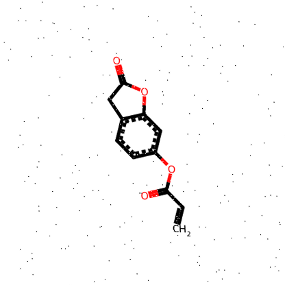 C=CC(=O)Oc1ccc2c(c1)OC(=O)C2